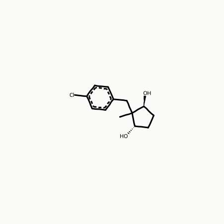 CC1(Cc2ccc(Cl)cc2)[C@@H](O)CC[C@@H]1O